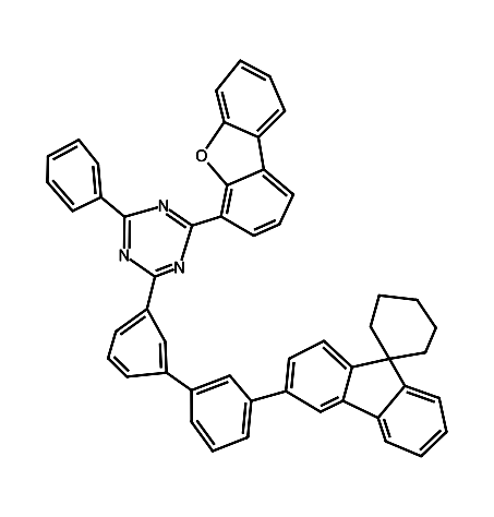 c1ccc(-c2nc(-c3cccc(-c4cccc(-c5ccc6c(c5)-c5ccccc5C65CCCCC5)c4)c3)nc(-c3cccc4c3oc3ccccc34)n2)cc1